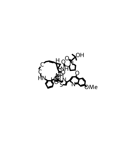 COc1ccc2c(O[C@@H]3C[C@@H](C(=O)N[C@]45C[C@H]4/C=C\CCCCCNc4ccccc4S(=O)(=O)NC5=O)N(C(=O)C(C)(C)O)C3)cc(-c3csc(NC(C)C)n3)nc2c1